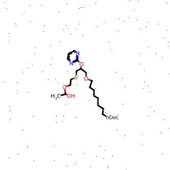 CCCCCCCCCCCCCCCCCCOCC(CSCCOC(C)O)Oc1ncccn1